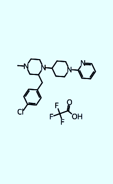 CN1CCN(C2CCN(c3ccccn3)CC2)C(Cc2ccc(Cl)cc2)C1.O=C(O)C(F)(F)F